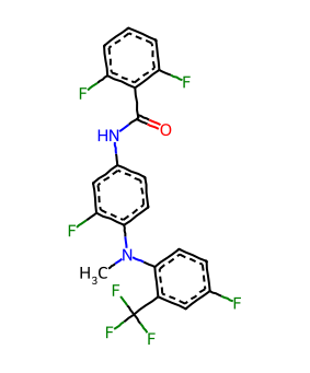 CN(c1ccc(NC(=O)c2c(F)cccc2F)cc1F)c1ccc(F)cc1C(F)(F)F